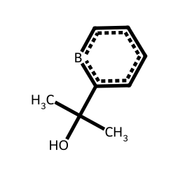 CC(C)(O)c1bcccc1